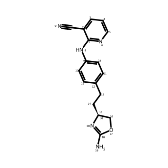 N#Cc1cccnc1Nc1ccc(CC[C@H]2COC(N)=N2)cc1